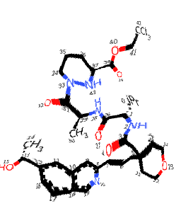 CC(C)[C@H](NC(=O)C1(/C=C/c2cc3cc([C@@H](C)O)ccc3cn2)CCOCC1)C(=O)N[C@@H](C)C(=O)N1CCC[C@@H](C(=O)OCC(Cl)(Cl)Cl)N1